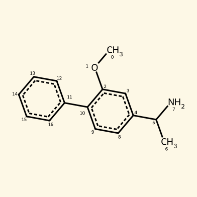 COc1cc(C(C)N)ccc1-c1ccccc1